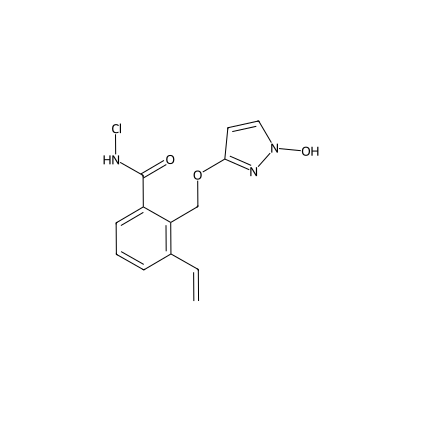 C=Cc1cccc(C(=O)NCl)c1COc1ccn(O)n1